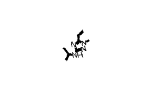 CCc1nc(NC(C)C)nn1C